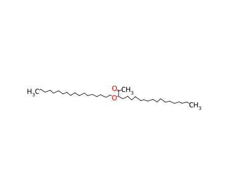 CCCCCCCCCCCCCCCCCCOC(CCCCCCCCCCCCCCCCC)C(C)=O